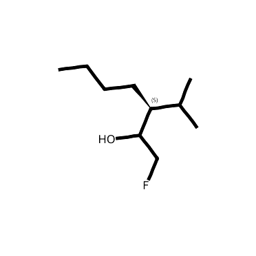 CCCC[C@@H](C(C)C)C(O)CF